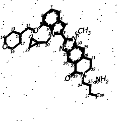 Cn1c(-c2cc3cccc(OCC4CCOCC4)c3n2CC2CC2)nc2cc3c(cc21)CCN(C[C@H](N)CF)C3=O